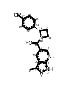 Cc1n[nH]c2ncc(C(=O)N3CC[C@H]3c3ccc(Cl)cc3)cc12